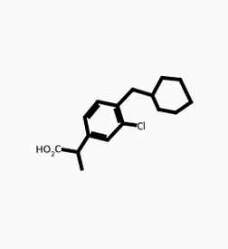 CC(C(=O)O)c1ccc(CC2CCCCC2)c(Cl)c1